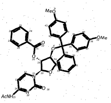 COc1ccc(C(O[C@H]2CO[C@@H](n3ccc(NC(C)=O)nc3=O)[C@@H]2OC(=O)c2ccccc2)(c2ccccc2)c2ccc(OC)cc2)cc1